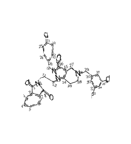 O=C1c2ccccc2C(=O)N1CCn1c2c(c(=O)n1Cc1ccc(Cl)cc1)CN(Cc1cc(F)cc(Cl)c1)CC2